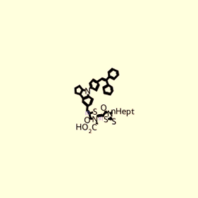 CCCCCCCN1C(=O)/C(=c2\s/c(=C\c3ccc4c(c3)C3CCCC3N4c3ccc(C=C(c4ccccc4)c4ccccc4)cc3)c(=O)n2CC(=O)O)SC1=S